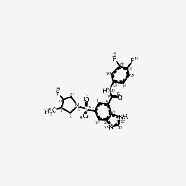 CC1CN(S(=O)(=O)c2cc(C(=O)Nc3ccc(F)c(F)c3)c3[nH]cnc3c2)CC1F